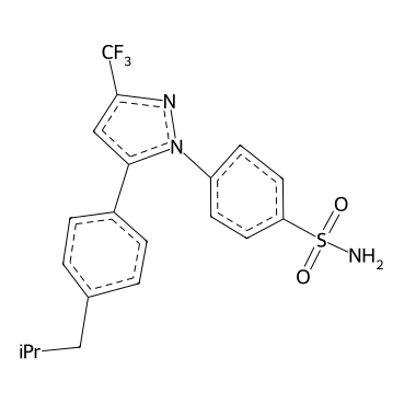 CC(C)Cc1ccc(-c2cc(C(F)(F)F)nn2-c2ccc(S(N)(=O)=O)cc2)cc1